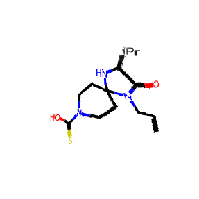 C=CCN1C(=O)C(C(C)C)NC12CCN(C(O)=S)CC2